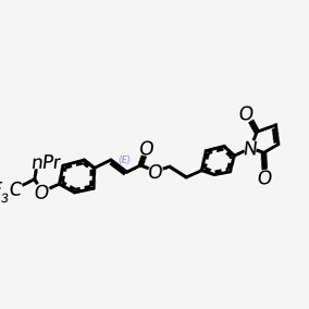 CCCC(Oc1ccc(/C=C/C(=O)OCCc2ccc(N3C(=O)C=CC3=O)cc2)cc1)C(F)(F)F